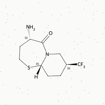 N[C@H]1CCS[C@H]2CC[C@H](C(F)(F)F)CN2C1=O